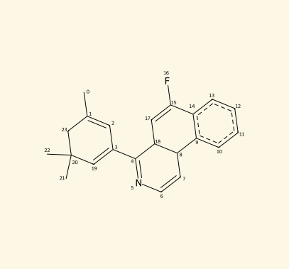 CC1=CC(C2=NC=CC3c4ccccc4C(F)=CC23)=CC(C)(C)C1